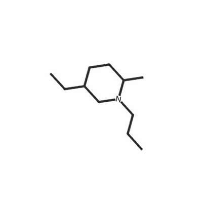 CCCN1CC(CC)CCC1C